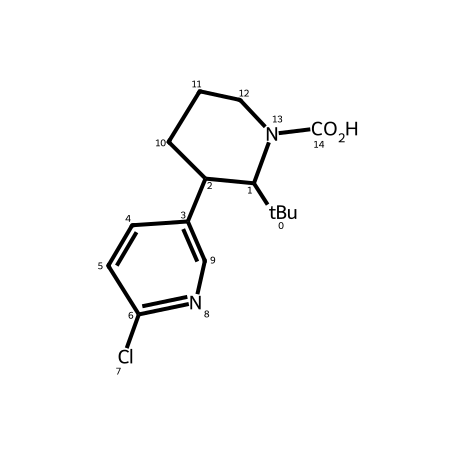 CC(C)(C)C1C(c2ccc(Cl)nc2)CCCN1C(=O)O